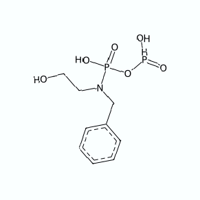 O=[PH](O)OP(=O)(O)N(CCO)Cc1ccccc1